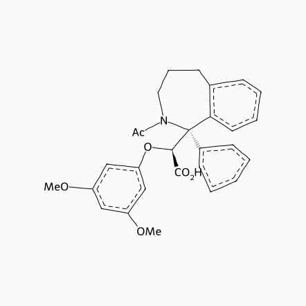 COc1cc(OC)cc(O[C@H](C(=O)O)[C@]2(c3ccccc3)c3ccccc3CCCN2C(C)=O)c1